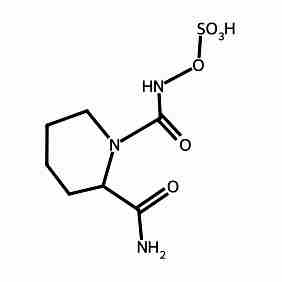 NC(=O)C1CCCCN1C(=O)NOS(=O)(=O)O